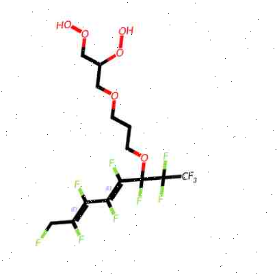 OOCC(COCCCOC(F)(/C(F)=C(F)/C(F)=C(\F)CF)C(F)(F)C(F)(F)F)OO